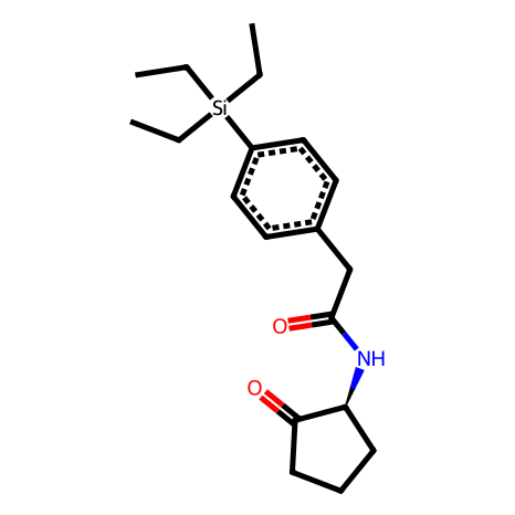 CC[Si](CC)(CC)c1ccc(CC(=O)N[C@H]2CCCC2=O)cc1